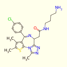 Cc1sc2c(c1C)C(c1ccc(Cl)cc1)=NC(CC(=O)NCCCCN)c1nnc(C)n1-2